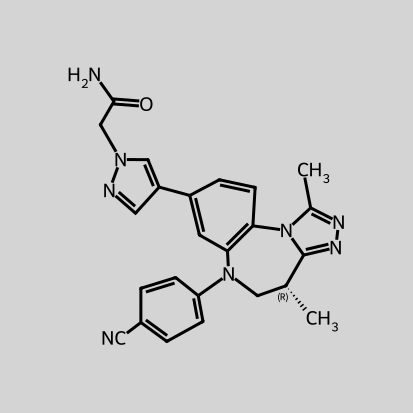 Cc1nnc2n1-c1ccc(-c3cnn(CC(N)=O)c3)cc1N(c1ccc(C#N)cc1)C[C@H]2C